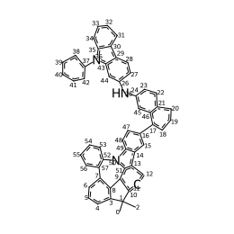 CC1(C)c2cccc3c2-c2c1ccc1c4cc(-c5cccc6ccc(Nc7ccc8c9ccccc9n(-c9ccccc9)c8c7)cc56)ccc4n(c21)-c1ccccc1-3